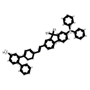 CCC1(CC)c2cc(/C=C/C3=CC=C(c4cc(C)ccc4-c4ccccc4)CC3)ccc2-c2ccc(N(c3ccccc3)c3ccccc3)cc21